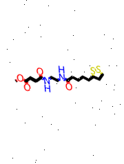 COC(=O)C=CC(=O)NCCNC(=O)CCCCC1CCSS1